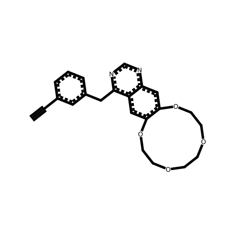 C#Cc1cccc(Cc2ncnc3cc4c(cc23)OCCOCCOCCO4)c1